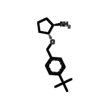 CC(C)(C)c1ccc(CO[C@@H]2CCC[C@H]2N)cc1